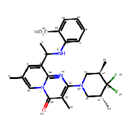 Cc1cc(C(C)Nc2ccccc2C(=O)O)c2nc(N3C[C@@H](C)C(F)(F)[C@H](C)C3)c(C)c(=O)n2c1